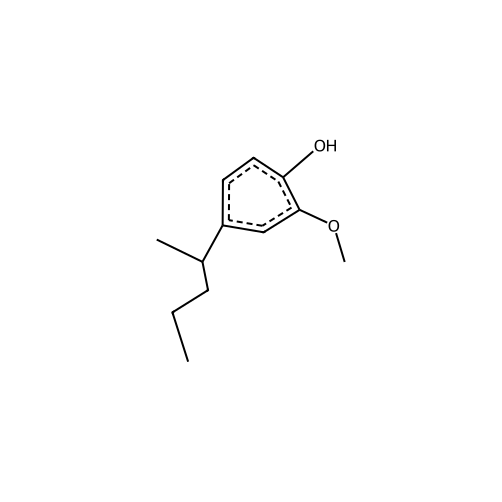 CCCC(C)c1ccc(O)c(OC)c1